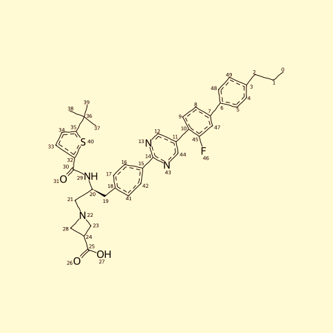 CCCc1ccc(-c2ccc(-c3cnc(-c4ccc(C[C@@H](CN5CC(C(=O)O)C5)NC(=O)c5ccc(C(C)(C)C)s5)cc4)nc3)c(F)c2)cc1